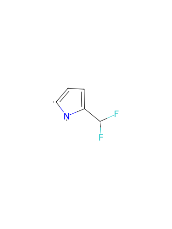 FC(F)C1=CC=[C][N]1